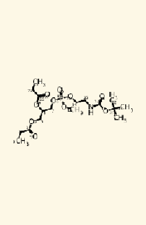 CCC(=O)OCC(COP(=O)(OC)OCCNC(=O)OC(C)(C)C)OC(=O)CC